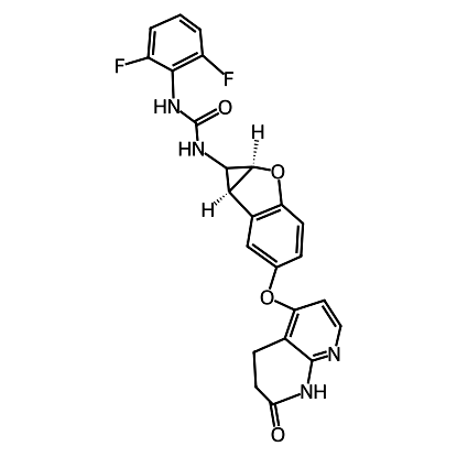 O=C1CCc2c(Oc3ccc4c(c3)[C@H]3C(NC(=O)Nc5c(F)cccc5F)[C@H]3O4)ccnc2N1